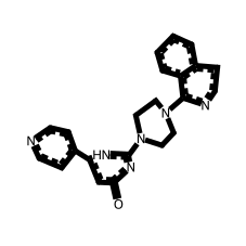 O=c1cc(-c2ccncc2)[nH]c(N2CCN(c3nccc4ccccc34)CC2)n1